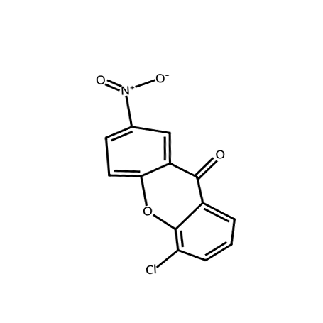 O=c1c2cc([N+](=O)[O-])ccc2oc2c(Cl)cccc12